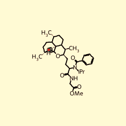 COC(=O)CNC(=O)C(CC[C@H]1O[C@@H]2O[C@]3(C)CCC4[C@H](C)CCC([C@H]1C)[C@]42OO3)N(C(=O)c1ccccc1)C(C)C